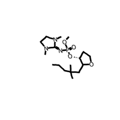 CCCC(C)(C)CC1OCC[C@H]1OP(=O)(N=C1N(C)CCN1C)OC